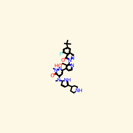 CN(c1cc(-c2ccnc(-n3ncc4cc(C(C)(C)C)cc(F)c4c3=O)c2CO)nn(C)c1=O)C1C=CC(C2CCNCC2)=CN1